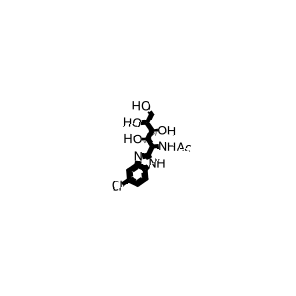 CC(=O)NC(c1nc2cc(Cl)ccc2[nH]1)[C@@H](O)[C@H](O)C(O)CO